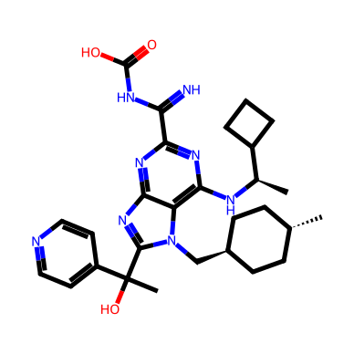 C[C@@H](Nc1nc(C(=N)NC(=O)O)nc2nc(C(C)(O)c3ccncc3)n(C[C@H]3CC[C@H](C)CC3)c12)C1CCC1